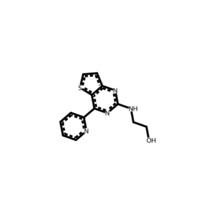 OCCNc1nc(-c2ccccn2)c2sccc2n1